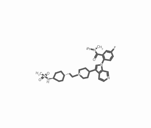 CC(C)N(C)C(=O)c1cc(F)ccc1-n1cc(C2CCN(CC[C@H]3CC[C@H](NS(C)(=O)=O)CC3)CC2)c2ccncc21